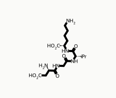 CC(C)[C@H](NC(=O)CNC(=O)[C@@H](N)CC(=O)O)C(=O)N[C@@H](CCCCN)C(=O)O